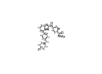 CNC(=O)c1ccc(Nc2nc3cccc(-c4ccc(CN5CCC(F)CC5)cc4)n3n2)cn1